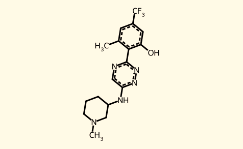 Cc1cc(C(F)(F)F)cc(O)c1-c1ncc(NC2CCCN(C)C2)nn1